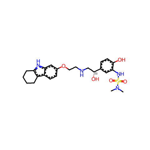 CN(C)S(=O)(=O)Nc1cc([C@H](O)CNCCOc2ccc3c4c([nH]c3c2)CCCC4)ccc1O